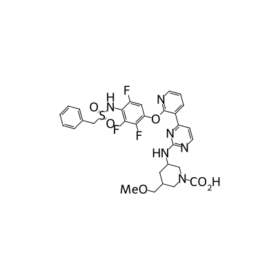 COCC1CC(Nc2nccc(-c3cccnc3Oc3cc(F)c(NS(=O)(=O)Cc4ccccc4)c(F)c3F)n2)CN(C(=O)O)C1